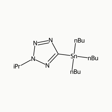 CCC[CH2][Sn]([CH2]CCC)([CH2]CCC)[c]1nnn(C(C)C)n1